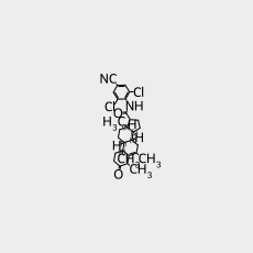 CC1=C2C(C)C(=O)CC[C@]2(C)[C@@H]2CC[C@]3(C)C(C(=O)Nc4c(Cl)cc(C#N)cc4Cl)CC[C@H]3[C@@H]2C1